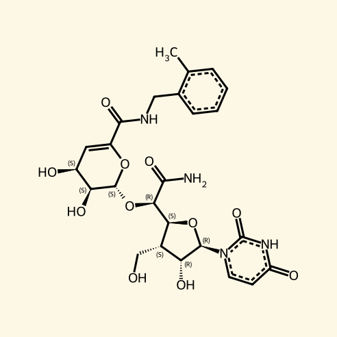 Cc1ccccc1CNC(=O)C1=C[C@H](O)[C@H](O)[C@@H](O[C@@H](C(N)=O)[C@H]2O[C@@H](n3ccc(=O)[nH]c3=O)[C@H](O)[C@@H]2CO)O1